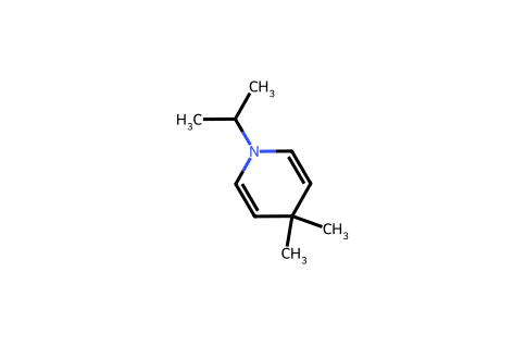 CC(C)N1C=CC(C)(C)C=C1